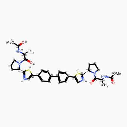 COC(=O)N[C@@H](C)C(=O)N1CCC[C@H]1c1ncc(-c2ccc(-c3ccc(-c4cnc([C@@H]5CCCN5C(=O)[C@H](C)NC(=O)OC)s4)cc3)cc2)s1